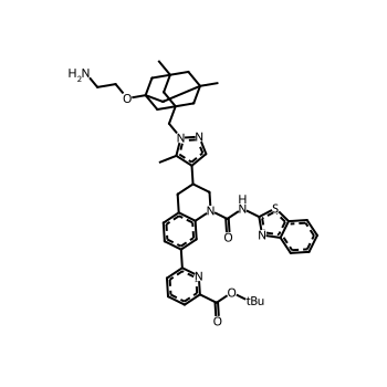 Cc1c(C2Cc3ccc(-c4cccc(C(=O)OC(C)(C)C)n4)cc3N(C(=O)Nc3nc4ccccc4s3)C2)cnn1CC12CC3(C)CC(C)(C1)CC(OCCN)(C3)C2